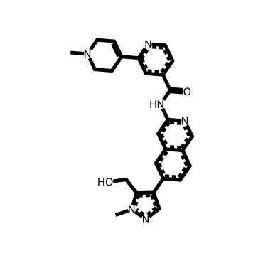 CN1CC=C(c2cc(C(=O)Nc3cc4cc(-c5cnn(C)c5CO)ccc4cn3)ccn2)CC1